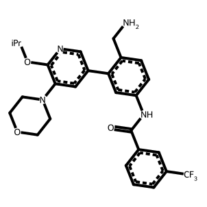 CC(C)Oc1ncc(-c2cc(NC(=O)c3cccc(C(F)(F)F)c3)ccc2CN)cc1N1CCOCC1